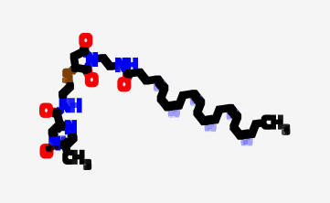 CC/C=C\C/C=C\C/C=C\C/C=C\C/C=C\C/C=C\CCC(=O)NCCN1C(=O)CC(SCCNC(=O)c2c[n+]([O-])c(C)cn2)C1=O